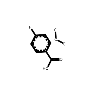 ClOCl.O=C(O)c1ccc(F)cc1